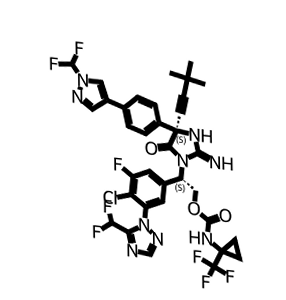 CC(C)(C)C#C[C@]1(c2ccc(-c3cnn(C(F)F)c3)cc2)NC(=N)N([C@H](COC(=O)NC2(C(F)(F)F)CC2)c2cc(F)c(Cl)c(-n3ncnc3C(F)F)c2)C1=O